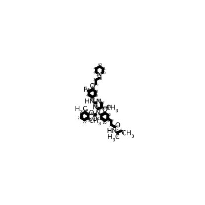 CCC(C)NC(=O)CCc1ccc(N(C(=O)Oc2c(C)cccc2C)c2ccnc(Nc3ccc(OCCCN4CCCCC4)c(F)c3)n2)c(OC)c1